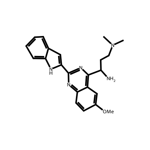 COc1ccc2nc(-c3cc4ccccc4[nH]3)nc(C(N)CCN(C)C)c2c1